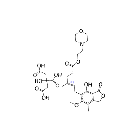 COc1c(C)c2c(c(O)c1C/C=C(\C)CCC(=O)OCCN1CCOCC1)C(=O)OC2.O=C(O)CC(O)(CC(=O)O)C(=O)O